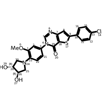 COc1cc(-n2cnc3cc(-c4ccc(Cl)cc4)sc3c2=O)ccc1N1C[C@@H](O)[C@H](O)C1